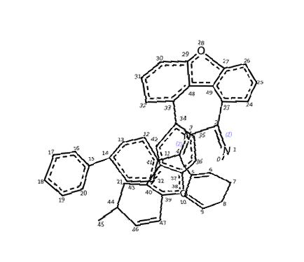 C/N=C(\N=C(/C1=CCCC=C1)c1ccc(-c2ccccc2)cc1)c1cccc2oc3cccc(-c4ccc5oc6c(c5c4)CC(C)C=C6)c3c12